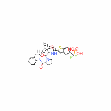 CC(C)(C)C(NC(=O)c1cc2cc(C(F)(F)P(=O)(O)O)ccc2s1)C(=O)N1CCCC1C(=O)N1CCCc2ccccc21